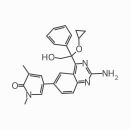 Cc1cc(-c2ccc3nc(N)nc(C(CO)(OC4CC4)c4ccccc4)c3c2)cn(C)c1=O